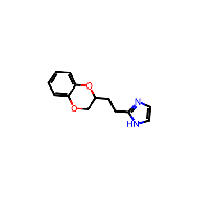 c1ccc2c(c1)OCC(CCc1ncc[nH]1)O2